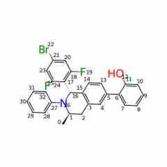 C[C@@H]1Cc2cc(-c3ccccc3O)ccc2[C@@H](c2c(F)cc(Br)cc2F)N1c1ccccc1